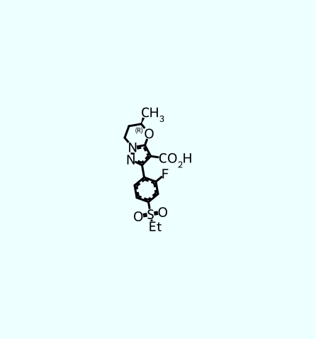 CCS(=O)(=O)c1ccc(-c2nn3c(c2C(=O)O)O[C@H](C)CC3)c(F)c1